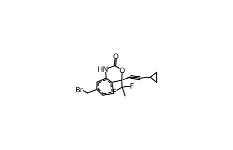 CC(F)(F)[C@@]1(C#CC2CC2)OC(=O)Nc2cc(CBr)ccc21